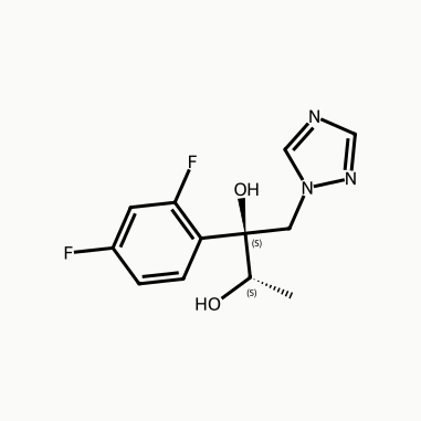 C[C@H](O)[C@@](O)(Cn1cncn1)c1ccc(F)cc1F